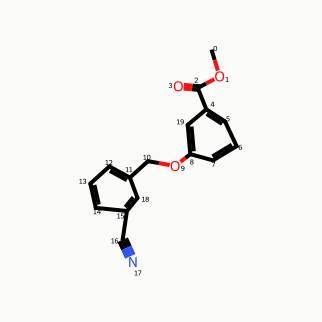 COC(=O)c1cccc(OCc2cccc(C#N)c2)c1